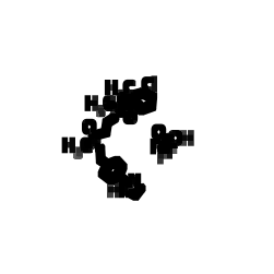 Cc1c(Cl)cccc1S(=O)(=O)N(C)CCCC(=O)N(C)CCc1ccc(C2=NCCN2)cc1.O=C(O)C(F)(F)F